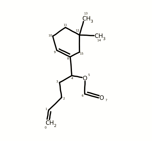 C=CCCC(OC=O)C1=CCCC(C)(C)C1